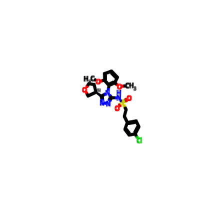 COc1cccc(OC)c1-n1c(NS(=O)(=O)CCc2ccc(Cl)cc2)nnc1[C@@H]1CCOC1